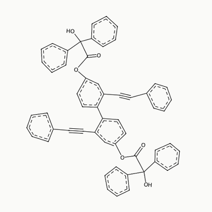 O=C(Oc1ccc(-c2ccc(OC(=O)C(O)(c3ccccc3)c3ccccc3)cc2C#Cc2ccccc2)c(C#Cc2ccccc2)c1)C(O)(c1ccccc1)c1ccccc1